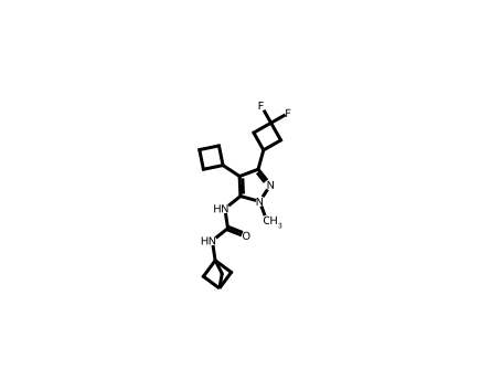 Cn1nc(C2CC(F)(F)C2)c(C2CCC2)c1NC(=O)NC12CC(C1)C2